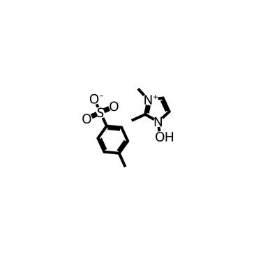 Cc1ccc(S(=O)(=O)[O-])cc1.Cc1n(O)cc[n+]1C